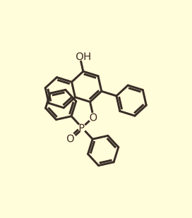 O=P(Oc1c(-c2ccccc2)cc(O)c2ccccc12)(c1ccccc1)c1ccccc1